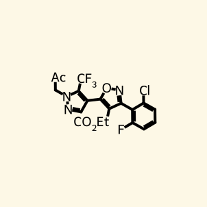 CCOC(=O)c1c(-c2c(F)cccc2Cl)noc1-c1cnn(CC(C)=O)c1C(F)(F)F